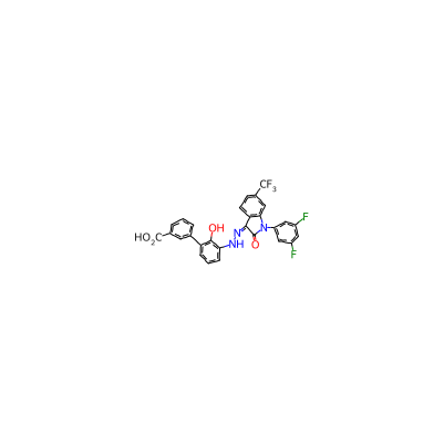 O=C(O)c1cccc(-c2cccc(NN=C3C(=O)N(c4cc(F)cc(F)c4)c4cc(C(F)(F)F)ccc43)c2O)c1